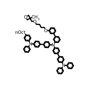 CCCCCCCCc1ccc(N(c2ccccc2)c2ccc(-c3ccc(N(c4ccc(-c5ccc(N(c6ccccc6)c6ccccc6)cc5)cc4)c4cccc(-c5cccc(OCCCCOCC6(C)COC6)c5)c4)cc3)cc2)cc1